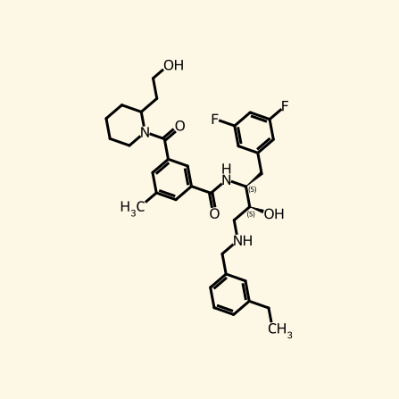 CCc1cccc(CNC[C@H](O)[C@H](Cc2cc(F)cc(F)c2)NC(=O)c2cc(C)cc(C(=O)N3CCCCC3CCO)c2)c1